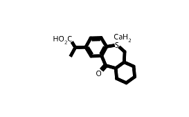 CC(C(=O)O)c1ccc2c(c1)C(=O)C1CCCCC1CS2.[CaH2]